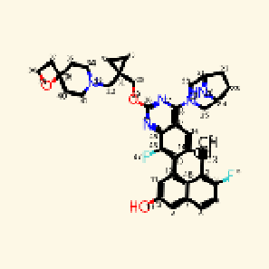 C#Cc1c(F)ccc2cc(O)cc(-c3c(C)cc4c(N5CC6CCC(C5)N6)nc(OCC5(CN6CCC7(CCO7)CC6)CC5)nc4c3F)c12